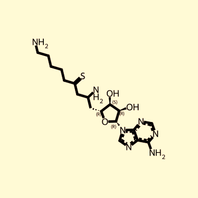 NCCCCCC(=S)CC(N)C[C@H]1O[C@@H](n2cnc3c(N)ncnc32)[C@H](O)[C@@H]1O